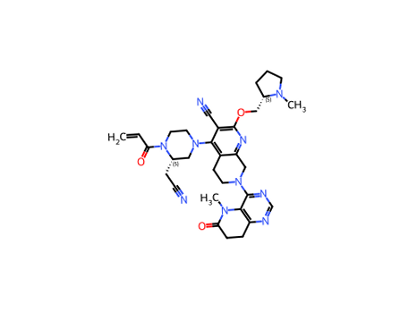 C=CC(=O)N1CCN(c2c(C#N)c(OC[C@@H]3CCCN3C)nc3c2CCN(c2ncnc4c2N(C)C(=O)CC4)C3)C[C@@H]1CC#N